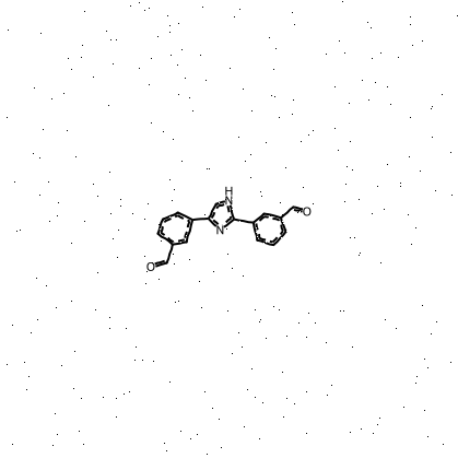 O=Cc1cccc(-c2c[nH]c(-c3cccc(C=O)c3)n2)c1